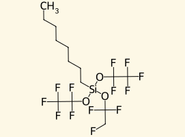 CCCCCCCC[Si](OC(F)(F)CF)(OC(F)(F)C(F)(F)F)OC(F)(F)C(F)(F)F